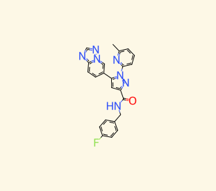 Cc1cccc(-n2nc(C(=O)NCc3ccc(F)cc3)cc2-c2ccc3ncnn3c2)n1